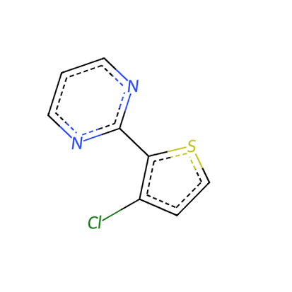 Clc1ccsc1-c1ncccn1